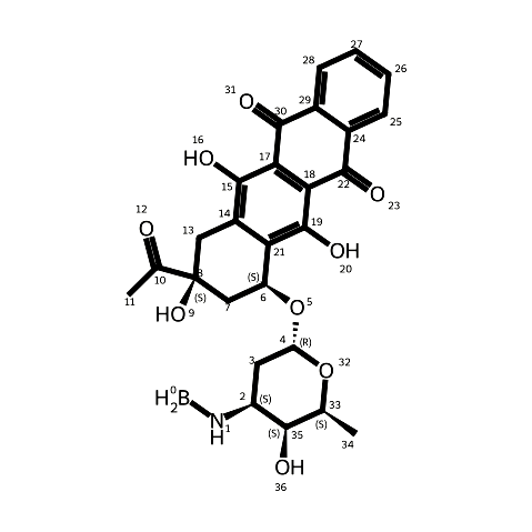 BN[C@H]1C[C@H](O[C@H]2C[C@](O)(C(C)=O)Cc3c(O)c4c(c(O)c32)C(=O)c2ccccc2C4=O)O[C@@H](C)[C@H]1O